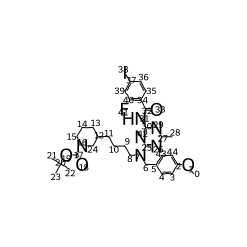 COc1ccc(CN(CCCCC2CCCN(C(=O)OC(C)(C)C)C2)c2nc(C)nc(NC(=O)c3ccc(I)cc3F)n2)cc1